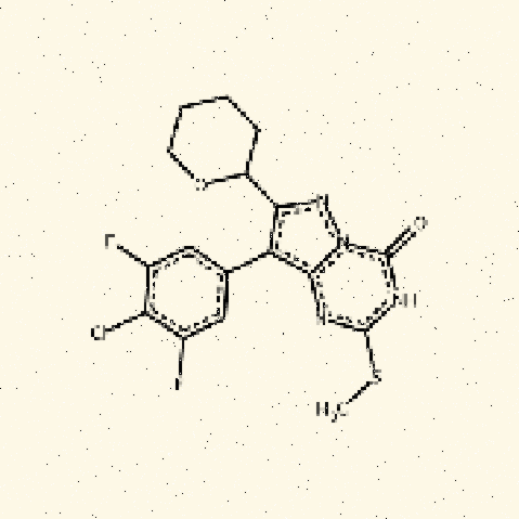 CSc1nc2c(-c3cc(F)c(Cl)c(F)c3)c(C3CCCCO3)nn2c(=O)[nH]1